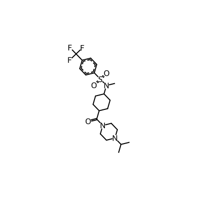 CC(C)N1CCN(C(=O)C2CCC(N(C)S(=O)(=O)c3ccc(C(F)(F)F)cc3)CC2)CC1